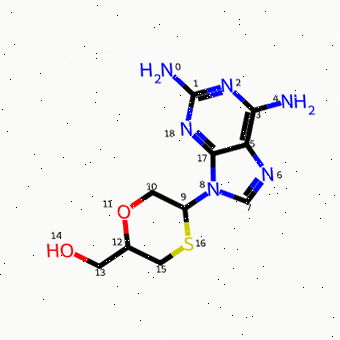 Nc1nc(N)c2ncn(C3COC(CO)CS3)c2n1